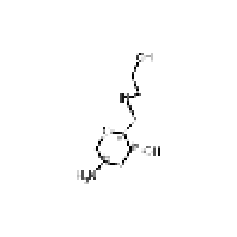 N[C@H]1CO[C@H](CNCCO)[C@H](O)C1